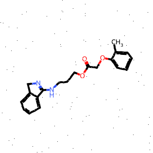 Cc1ccccc1OCC(=O)OCCCNC1=NCc2ccccc21